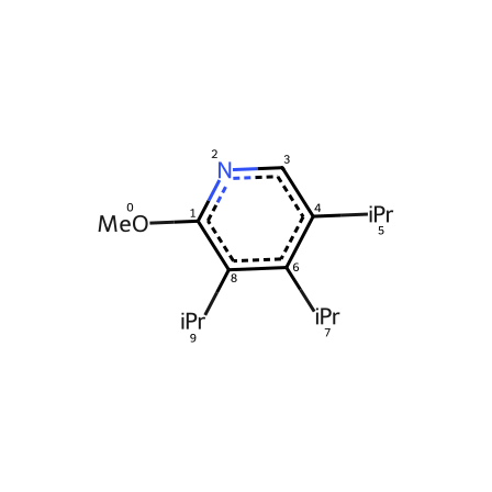 COc1ncc(C(C)C)c(C(C)C)c1C(C)C